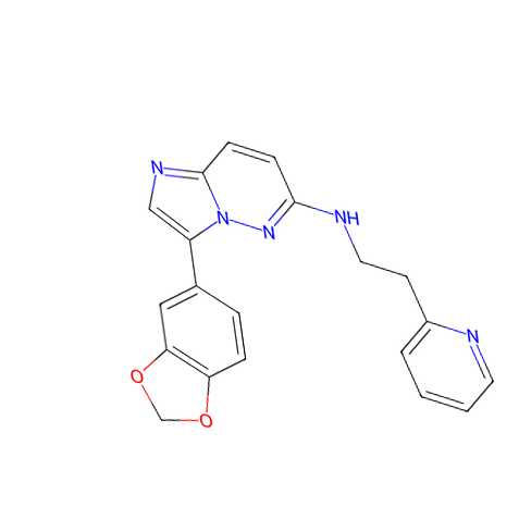 c1ccc(CCNc2ccc3ncc(-c4ccc5c(c4)OCO5)n3n2)nc1